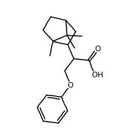 CC1(C)C2CCC1(C)C(C(COc1ccccc1)C(=O)O)C2